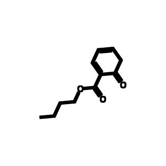 CCCCOC(=O)C1=CC=CCC1=O